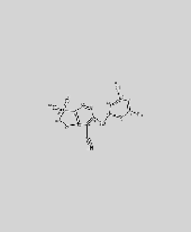 N#Cc1c(Oc2cc(F)cc(Cl)c2)ccc2c1CCS2(=O)=O